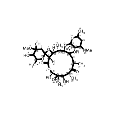 CC[C@H]1OC(=O)[C@H]2[C@@H](OC23CC(C)(OC)C(O)C(C)O3)[C@H](C)[C@@H](OC2CC(NC)CC(C)O2)[C@@](C)(O)C[C@@H](C)C(=O)[C@H](C)[C@@H](O)[C@]1(C)O